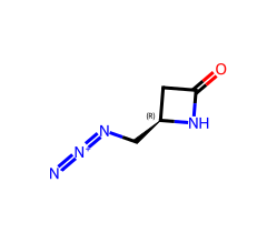 [N-]=[N+]=NC[C@H]1CC(=O)N1